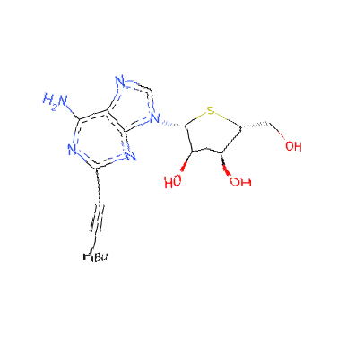 CCCCC#Cc1nc(N)c2ncn([C@@H]3S[C@H](CO)[C@@H](O)[C@H]3O)c2n1